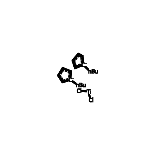 CCCC[c-]1cccc1.CCCC[c-]1cccc1.[Cl][Ti][Cl]